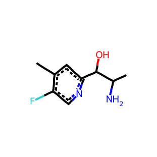 Cc1cc(C(O)C(C)N)ncc1F